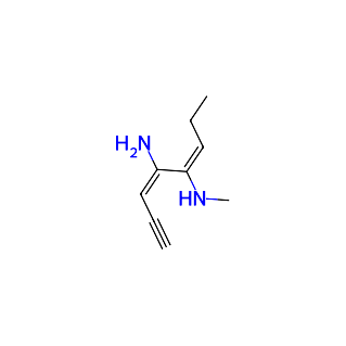 C#C/C=C(N)\C(=C/CC)NC